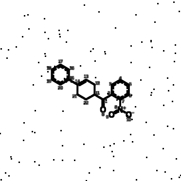 O=C(c1ccccc1[N+](=O)[O-])C1CC=C(c2ccccc2)CC1